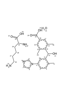 Cc1ccc(-n2ccnc2)cc1C(O)c1c(C)cc(C(=O)O)cc1C.NCCCCC(N)C(=O)O.O